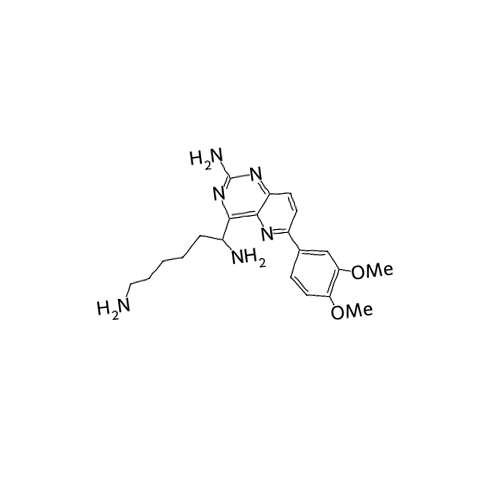 COc1ccc(-c2ccc3nc(N)nc(C(N)CCCCCN)c3n2)cc1OC